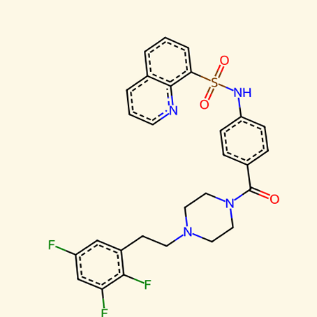 O=C(c1ccc(NS(=O)(=O)c2cccc3cccnc23)cc1)N1CCN(CCc2cc(F)cc(F)c2F)CC1